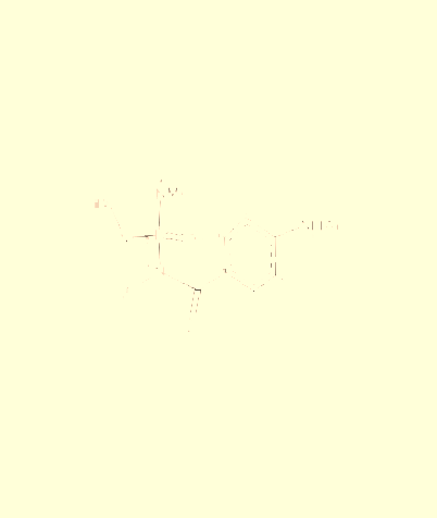 CCC(C)SP(=O)(NC)N(C)C(=S)c1ccc(NC(C)=O)cc1